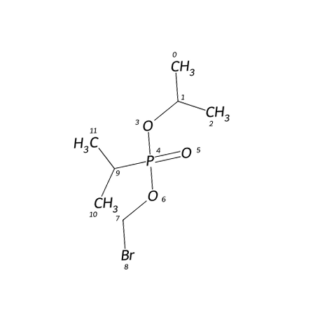 CC(C)OP(=O)(OCBr)C(C)C